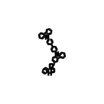 O=C(OCc1ccc2c(c1)c1ccccc1n2-c1ccc(-c2ccc(-n3c4ccccc4c4ccccc43)cc2)cc1)C1CC2C=C[C@H]1C2